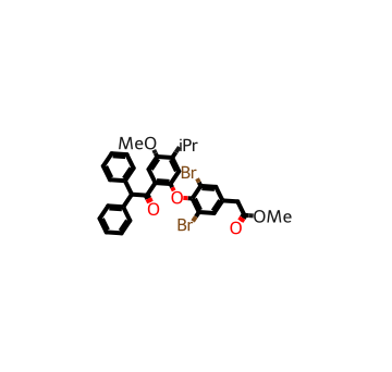 COC(=O)Cc1cc(Br)c(Oc2cc(C(C)C)c(OC)cc2C(=O)C(c2ccccc2)c2ccccc2)c(Br)c1